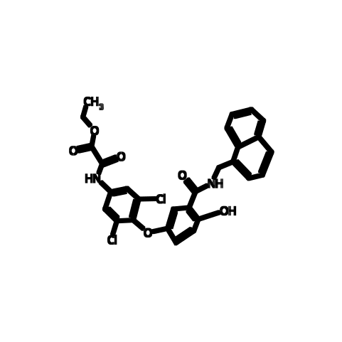 CCOC(=O)C(=O)Nc1cc(Cl)c(Oc2ccc(O)c(C(=O)NCc3cccc4ccccc34)c2)c(Cl)c1